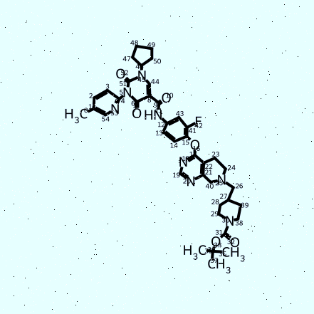 Cc1ccc(-n2c(=O)c(C(=O)Nc3ccc(Oc4ncnc5c4CCN(CC4CCN(C(=O)OC(C)(C)C)CC4)C5)c(F)c3)cn(C3CCCC3)c2=O)nc1